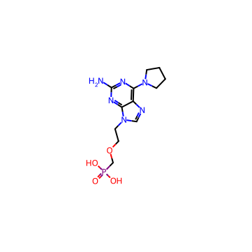 Nc1nc(N2CCCC2)c2ncn(CCOCP(=O)(O)O)c2n1